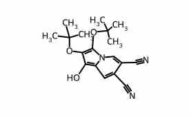 CC(C)(C)Oc1c(O)c2cc(C#N)c(C#N)cn2c1OC(C)(C)C